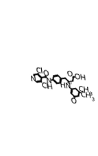 CC1(C)CC(=O)C=C(N[C@H](CC(=O)O)Cc2ccc(NC(=O)c3c(Cl)cncc3Cl)cc2)C1